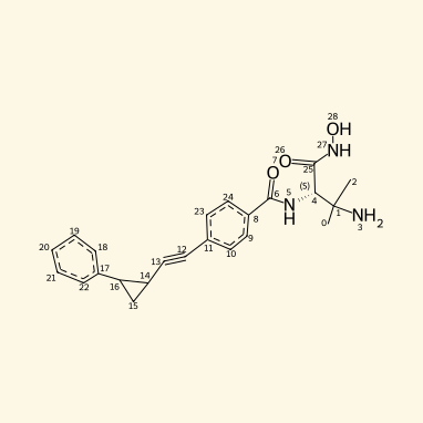 CC(C)(N)[C@H](NC(=O)c1ccc(C#CC2CC2c2ccccc2)cc1)C(=O)NO